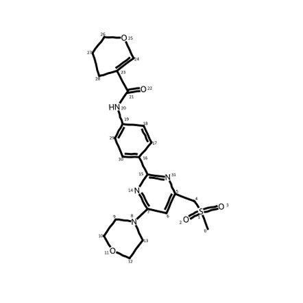 CS(=O)(=O)Cc1cc(N2CCOCC2)nc(-c2ccc(NC(=O)C3=COCCC3)cc2)n1